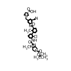 Cc1c(-c2nc3cc(CN4CC[C@H](C(=O)O)C4)cc(C#N)c3o2)cccc1-c1cccc(NC(=O)c2nc3c(n2C)CCN(C(=O)OC(C)(C)C)C3)c1Cl